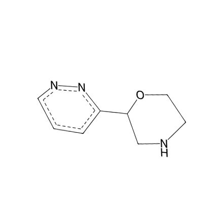 c1cnnc(C2CNCCO2)c1